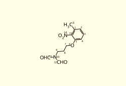 Cc1cccc(OCCCN(C=O)C=O)c1[N+](=O)[O-]